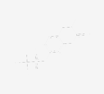 CC1Cc2ccc(OS(=O)(=O)C(F)(F)F)nc2OC1=O